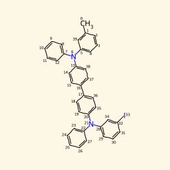 Cc1cccc(N(c2ccccc2)c2ccc(-c3ccc(N(c4ccccc4)c4cccc(I)c4)cc3)cc2)c1